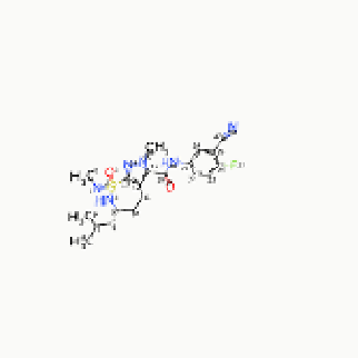 CN=S1(=O)N[C@@H](CC(C)C)CCc2c1nn(C)c2C(=O)Nc1ccc(F)c(C#N)c1